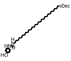 CCCCCCCCCCCCCCCCCCCCCCCCCCCCCCCCCCCCCCNC(=O)Nc1ccc(O)cc1